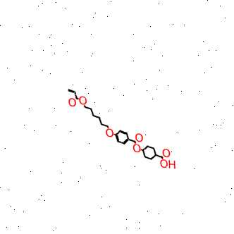 C=CC(=O)OCCCCCCOc1ccc(C(=O)OC2CCC(C(=O)O)CC2)cc1